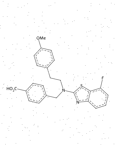 COc1ccc(CCN(Cc2ccc(C(=O)O)cc2)c2nc3cccc(F)c3s2)cc1